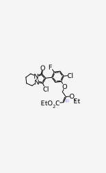 CCOC(=O)/C=C(\COc1cc(-c2c(Cl)n3n(c2=O)CCCC3)c(F)cc1Cl)OCC